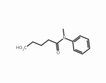 CN(C(=O)CCCC(=O)O)c1ccccc1